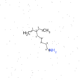 C=CC(CC)CCCCCN